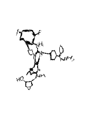 NC(=O)C1CCC(n2c(Nc3c(F)cc(F)cc3Cl)nc3cnc(NC4COC[C@H]4O)nc32)CC1